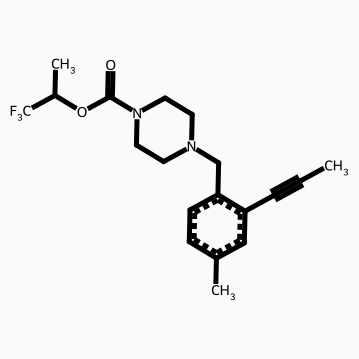 CC#Cc1cc(C)ccc1CN1CCN(C(=O)OC(C)C(F)(F)F)CC1